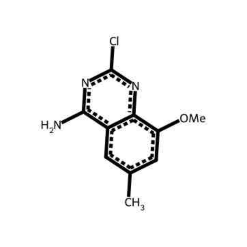 COc1cc(C)cc2c(N)nc(Cl)nc12